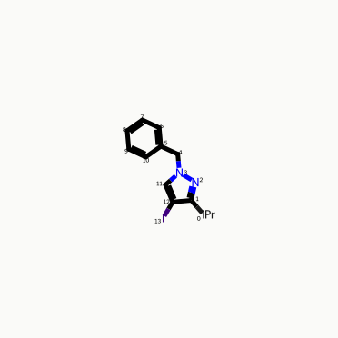 CC(C)c1nn(Cc2ccccc2)cc1I